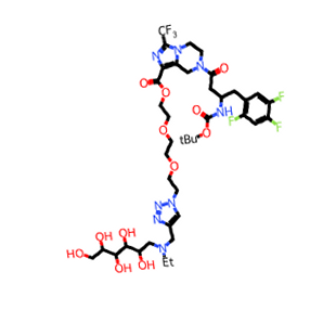 CCN(Cc1cn(CCOCCOCCOC(=O)c2nc(C(F)(F)F)n3c2CN(C(=O)CC(Cc2cc(F)c(F)cc2F)NC(=O)OC(C)(C)C)CC3)nn1)CC(O)C(O)C(O)C(O)CO